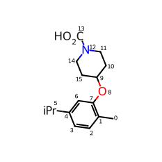 Cc1ccc(C(C)C)cc1OC1CCN(C(=O)O)CC1